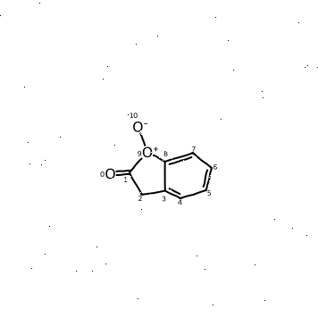 O=C1Cc2ccccc2[O+]1[O-]